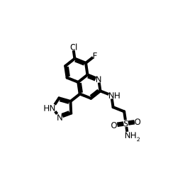 NS(=O)(=O)CCNc1cc(-c2cn[nH]c2)c2ccc(Cl)c(F)c2n1